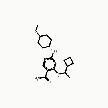 CO[C@H]1CC[C@H](Nc2ncc(C(N)=O)c(NC(C)C3CCC3)n2)CC1